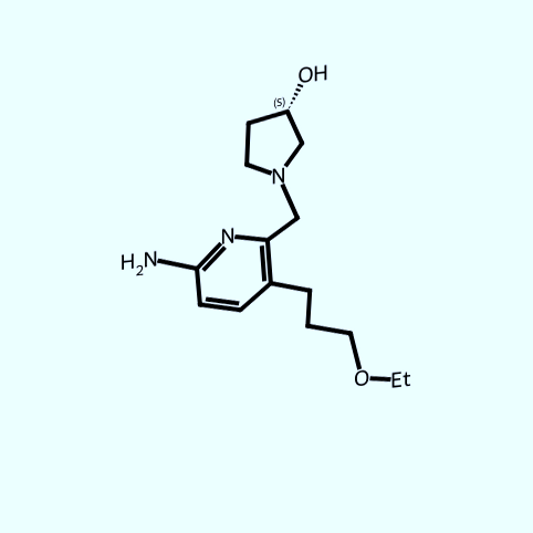 CCOCCCc1ccc(N)nc1CN1CC[C@H](O)C1